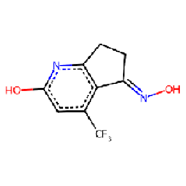 ON=C1CCc2nc(O)cc(C(F)(F)F)c21